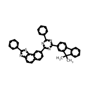 CC1(C)c2ccccc2-c2ccc(-c3nc(-c4ccccc4)nc(-c4ccc5ccc6nc(-c7ccccc7)sc6c5c4)n3)cc21